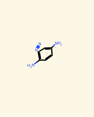 N#N.Nc1ccc(N)cc1